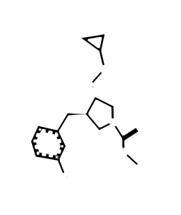 CC(C)(C)OC(=O)N1C[C@@H](CNC2CC2)[C@H](Cc2cccc(Br)c2)C1